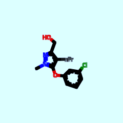 CCCc1c(CO)nn(C)c1Oc1cccc(Cl)c1